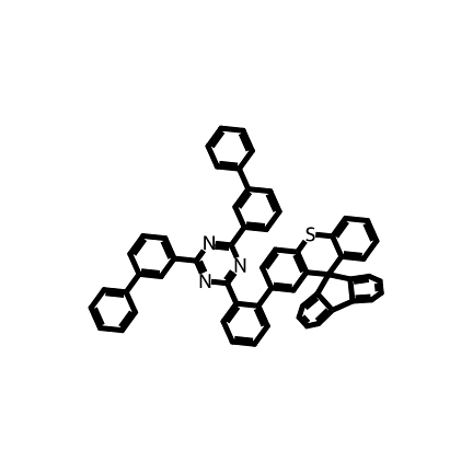 c1ccc(-c2cccc(-c3nc(-c4cccc(-c5ccccc5)c4)nc(-c4ccccc4-c4ccc5c(c4)C4(c6ccccc6S5)c5ccccc5-c5ccccc54)n3)c2)cc1